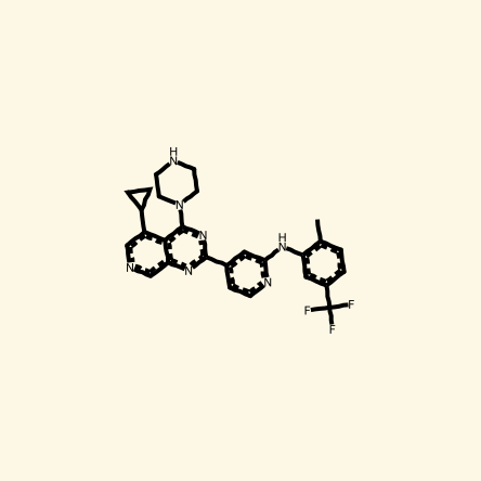 Cc1ccc(C(F)(F)F)cc1Nc1cc(-c2nc(N3CCNCC3)c3c(C4CC4)cncc3n2)ccn1